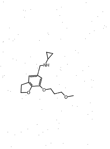 COCCCOc1cc(CNC2CC2)cc2c1OCC2